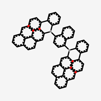 c1ccc(-c2ccccc2N(c2cc3ccc4cccc5ccc(c2)c3c45)c2ccc(N(c3cc4ccc5cccc6ccc(c3)c4c56)c3ccccc3-c3ccccc3)c3ccccc23)cc1